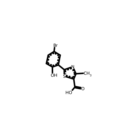 Cc1nc(-c2cc(Br)ccc2O)sc1C(=O)O